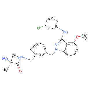 COc1cccc2c1c(Nc1cccc(Cl)c1)nn2Cc1cccc(CNC(=O)C(C)(C)N)c1